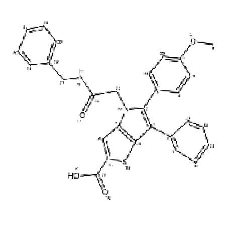 COc1ccc(-c2c(-c3ccccc3)c3sc(C(=O)O)cc3n2CC(=O)NCc2ccccc2)cc1